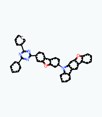 c1ccc(-c2nc(-c3ccccc3)nc(-c3ccc4c(c3)oc3cc(-n5c6ccccc6c6cc7c(cc65)oc5ccccc57)ccc34)n2)cc1